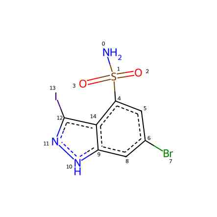 NS(=O)(=O)c1cc(Br)cc2[nH]nc(I)c12